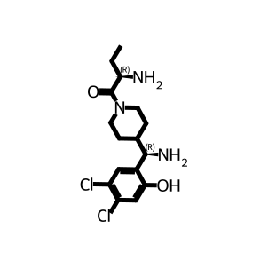 CC[C@@H](N)C(=O)N1CCC([C@@H](N)c2cc(Cl)c(Cl)cc2O)CC1